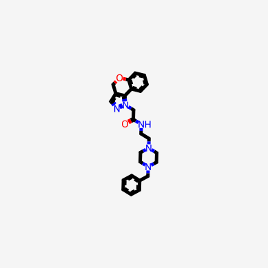 O=C(Cn1ncc2c1-c1ccccc1OC2)NCCN1CCN(Cc2ccccc2)CC1